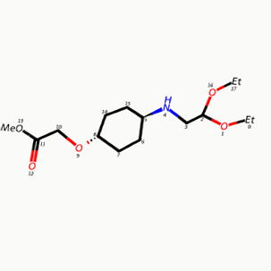 CCOC(CN[C@H]1CC[C@H](OCC(=O)OC)CC1)OCC